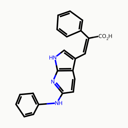 O=C(O)C(=Cc1c[nH]c2nc(Nc3ccccc3)ccc12)c1ccccc1